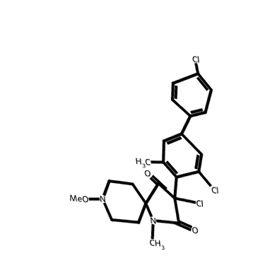 CON1CCC2(CC1)C(=O)C(Cl)(c1c(C)cc(-c3ccc(Cl)cc3)cc1Cl)C(=O)N2C